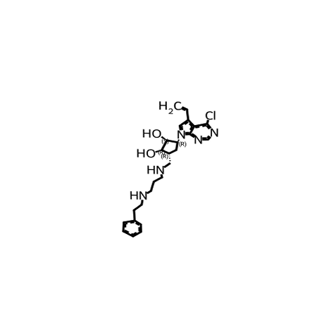 C=Cc1cn([C@@H]2C[C@H](CNCCCNCCc3ccccc3)[C@@H](O)[C@H]2O)c2ncnc(Cl)c12